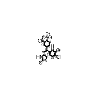 CCS(=O)(=O)c1ccc(C(=C[C@H]2CCC(=O)N2)c2ccc(Cl)c(=O)[nH]2)cc1Cl